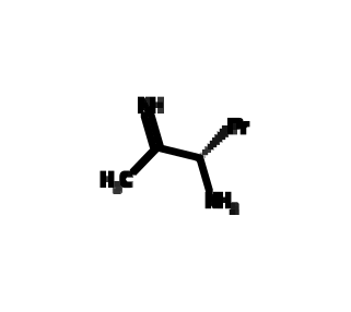 CC(=N)[C@@H](N)C(C)C